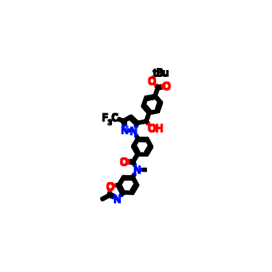 Cc1nc2ccc(N(C)C(=O)c3cccc(-n4nc(C(F)(F)F)cc4C(O)c4ccc(C(=O)OC(C)(C)C)cc4)c3)cc2o1